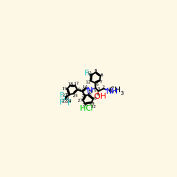 CNC[C@@H](O)[C@H](c1cccc(F)c1)n1cc(-c2cccc(C(F)(F)F)c2)c2ccccc21.Cl